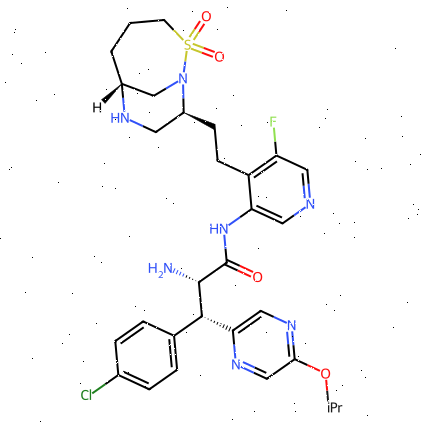 CC(C)Oc1cnc([C@H](c2ccc(Cl)cc2)[C@H](N)C(=O)Nc2cncc(F)c2CC[C@H]2CN[C@@H]3CCCS(=O)(=O)N2C3)cn1